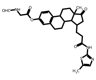 Cc1cnc(NC(=O)CCC2CC(=O)C3(C)CCC4c5ccc(OC(=O)CNC=O)cc5CCC4C23)s1